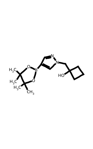 CC1(C)OB(c2cnn(CC3(O)CCC3)c2)OC1(C)C